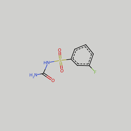 NC(=O)NS(=O)(=O)c1cccc(F)c1